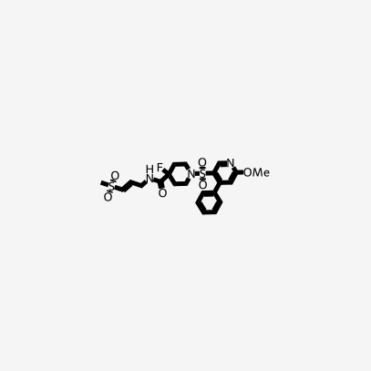 COc1cc(-c2ccccc2)c(S(=O)(=O)N2CCC(F)(C(=O)NC/C=C/S(C)(=O)=O)CC2)cn1